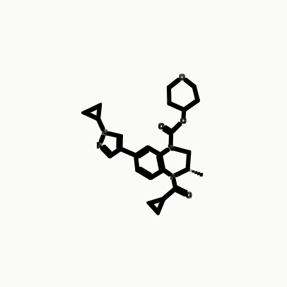 C[C@H]1CN(C(=O)OC2CCOCC2)c2cc(-c3cnn(C4CC4)c3)ccc2N1C(=O)C1CC1